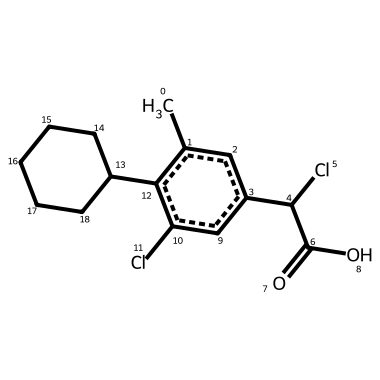 Cc1cc(C(Cl)C(=O)O)cc(Cl)c1C1CCCCC1